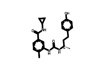 Cc1ccc(C(=O)NC2CC2)cc1NC(=O)N[C@@H](C)CCc1ccc(O)cc1